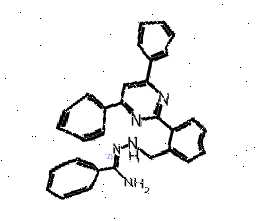 N/C(=N\NCc1ccccc1-c1nc(-c2ccccc2)cc(-c2ccccc2)n1)c1ccccc1